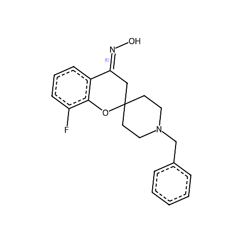 O/N=C1\CC2(CCN(Cc3ccccc3)CC2)Oc2c(F)cccc21